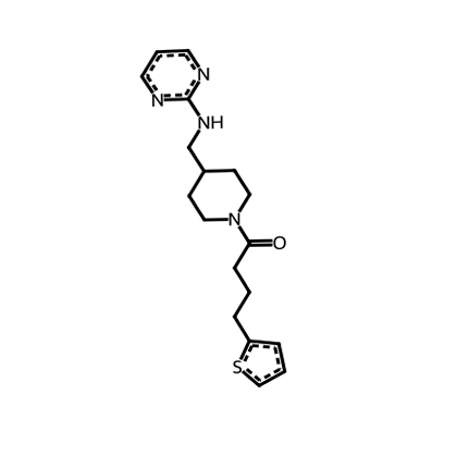 O=C(CCCc1cccs1)N1CCC(CNc2ncccn2)CC1